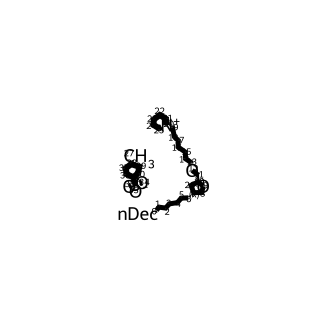 CCCCCCCCCCCCCCCC[C@H]1CO[C@H](COCCCCCCC[n+]2ccccc2)C1.Cc1ccc(S(=O)(=O)[O-])cc1